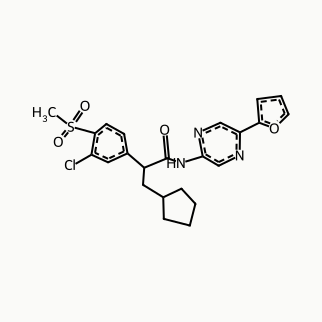 CS(=O)(=O)c1ccc(C(CC2CCCC2)C(=O)Nc2cnc(-c3ccco3)cn2)cc1Cl